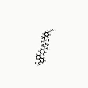 CCC(NC(=O)NNC(=O)c1ccc(OC)cc1)[C@H]1CC[C@@H](c2ccnc3c(C(F)(F)F)cccc32)CC1